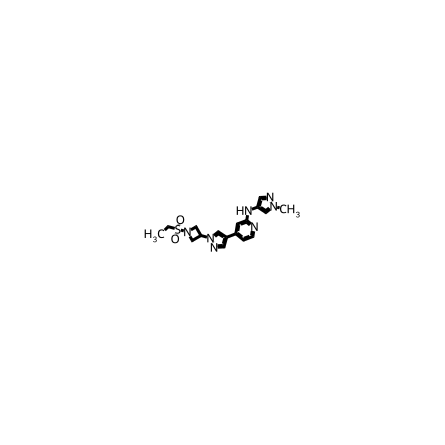 CCS(=O)(=O)N1CC(n2cc(-c3ccnc(Nc4cnn(C)c4)c3)cn2)C1